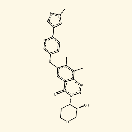 Cc1c(Cc2ccc(-c3cnn(C)c3)nc2)cc2c(=O)n([C@H]3CCOC[C@@H]3O)nnc2c1C